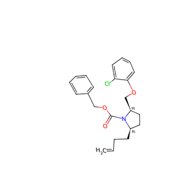 C=CCC[C@@H]1CC[C@H](COc2ccccc2Cl)N1C(=O)OCc1ccccc1